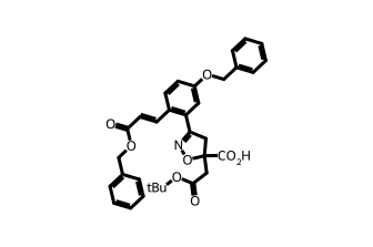 CC(C)(C)OC(=O)CC1(C(=O)O)CC(c2cc(OCc3ccccc3)ccc2C=CC(=O)OCc2ccccc2)=NO1